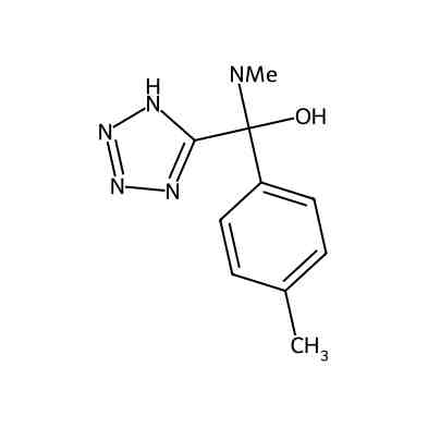 CNC(O)(c1ccc(C)cc1)c1nnn[nH]1